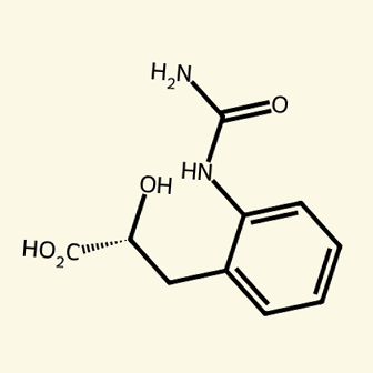 NC(=O)Nc1ccccc1C[C@@H](O)C(=O)O